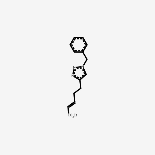 CCOC(=O)/C=C/CCc1cn(Cc2ccccc2)nn1